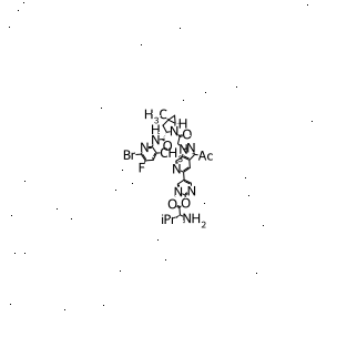 CC(=O)c1nn(CC(=O)N2[C@H](C(=O)Nc3nc(Br)c(F)cc3C)C[C@@]3(C)C[C@@H]23)c2cnc(-c3cnc(OC(=O)[C@@H](N)C(C)C)nc3)cc12